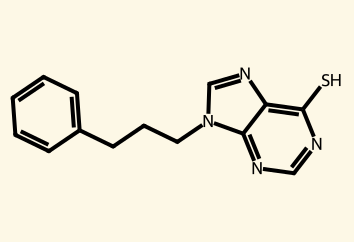 Sc1ncnc2c1ncn2CCCc1ccccc1